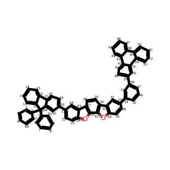 c1ccc(C2(c3ccccc3)c3ccccc3-c3ccc(-c4ccc5oc6c(ccc7c8cc(-c9cccc(-c%10ccc%11c%12ccccc%12c%12ccccc%12c%11c%10)c9)ccc8oc76)c5c4)cc32)cc1